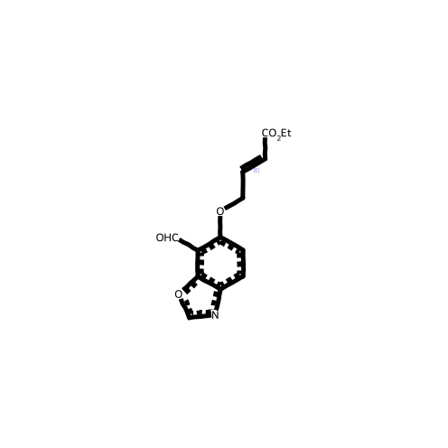 CCOC(=O)/C=C/COc1ccc2ncoc2c1C=O